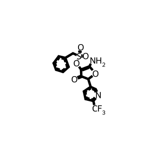 NC1=C(OS(=O)(=O)Cc2ccccc2)C(=O)C(c2ccc(C(F)(F)F)nc2)O1